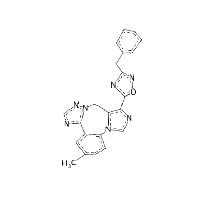 Cc1ccc2c(c1)-c1ncnn1Cc1c(-c3nc(Cc4ccccc4)no3)ncn1-2